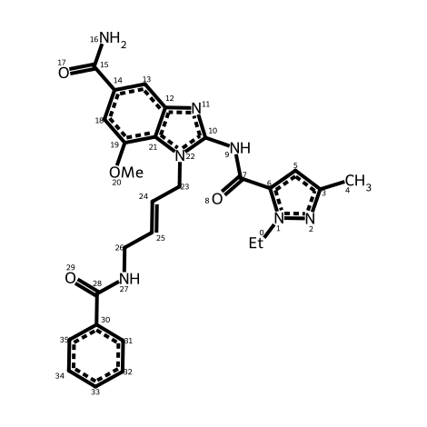 CCn1nc(C)cc1C(=O)Nc1nc2cc(C(N)=O)cc(OC)c2n1CC=CCNC(=O)c1ccccc1